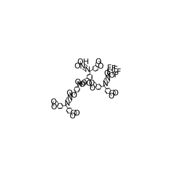 O=C(O)N1CCN(C(c2ccc3c(c2)COCO3)c2ccc3c(c2)COCO3)CC1.O=C(OC(C(F)(F)F)C(F)(F)F)N1CCN(C(c2ccc3c(c2)COCO3)c2ccc3c(c2)COCO3)CC1.O=C(Oc1ccc([N+](=O)[O-])cc1)N1CCN(C(c2ccc3c(c2)COCO3)c2ccc3c(c2)COCO3)CC1